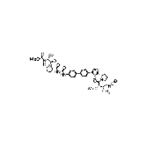 COC(=O)N[C@H](C(=O)N1CCC[C@H]1C(=O)NC(=O)Nc1ccc(-c2ccc(-c3cnc([C@@H]4CCCN4C(=O)[C@@H](OC)C(C)CN=C=O)[nH]3)cc2)cc1)C(C)C